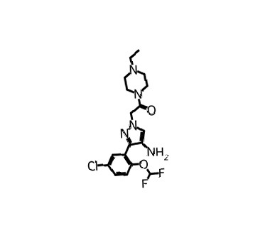 CCN1CCN(C(=O)Cn2cc(N)c(-c3cc(Cl)ccc3OC(F)F)n2)CC1